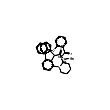 CCCCN(CCC)C(=O)C1c2ccccc2-c2cccc(N3CCCCC3NC(=O)c3ccccc3Oc3ccccc3)c21